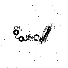 Cc1ccc(Oc2ccc(Cc3nsc(N4CCCN(S(=O)(=O)C(F)(F)C(F)(F)C(F)(F)C(F)(F)C(F)(F)C(F)(F)C(F)(F)C(F)(F)F)CC4)n3)cc2)cc1